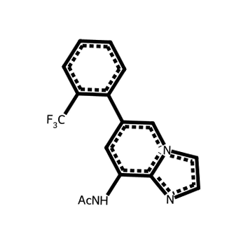 CC(=O)Nc1cc(-c2ccccc2C(F)(F)F)cn2ccnc12